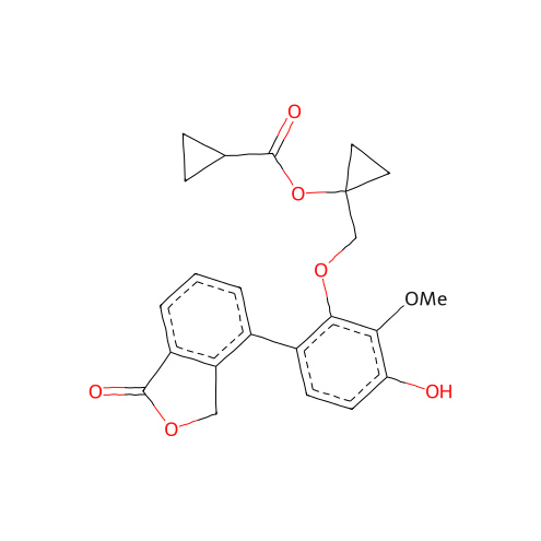 COc1c(O)ccc(-c2cccc3c2COC3=O)c1OCC1(OC(=O)C2CC2)CC1